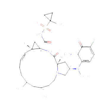 CC1CC/C=C\[C@@H]2C[C@@]2(C(=O)NS(=O)(=O)C2(C)CC2)NC(=O)[C@@H]2C[C@@H](N(C(=O)O)C3=CC=C(F)C(=O)[C@H]3N)CN2CC[C@H](C)C1